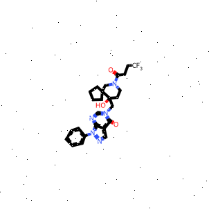 O=C(CCC(F)(F)F)N1CCC(O)(Cn2cnc3c(cnn3-c3ccccc3)c2=O)C2(CCCC2)C1